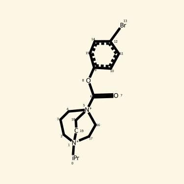 CC(C)[N+]12CCC[N+](C(=O)Oc3ccc(Br)cc3)(CC1)CC2